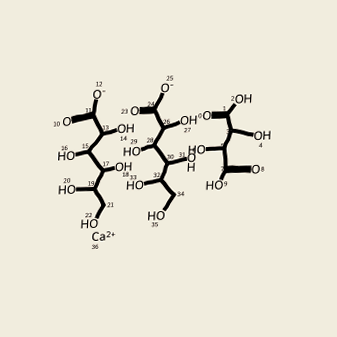 O=C(O)C(O)C(O)C(=O)O.O=C([O-])C(O)C(O)C(O)C(O)CO.O=C([O-])C(O)C(O)C(O)C(O)CO.[Ca+2]